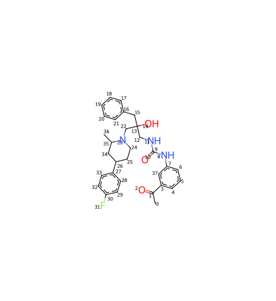 CC(=O)c1cccc(NC(=O)NCC(O)(Cc2ccccc2)CN2CCC(c3ccc(F)cc3)CC2C)c1